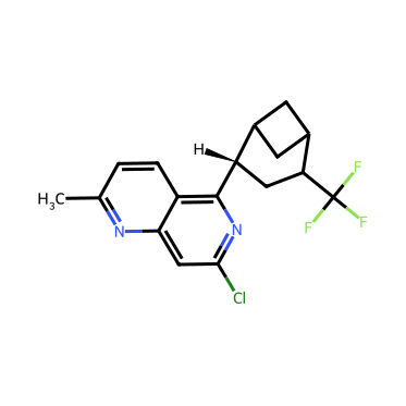 Cc1ccc2c([C@H]3CC(C(F)(F)F)C4CC3C4)nc(Cl)cc2n1